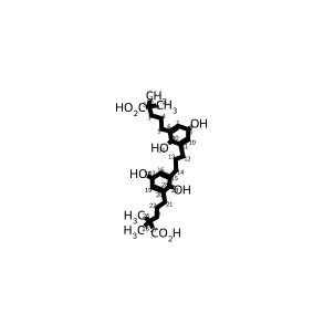 CC(C)(CCCC1=CC(O)C=C(CCCC2=CC(O)C=C(CCCC(C)(C)C(=O)O)C2O)C1O)C(=O)O